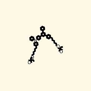 CCC1(COCCCCCCc2ccc(-c3cc(-c4ccccc4)cc(-c4ccc(N(c5ccccc5)c5ccc(CCCCCCOCC6(CC)COC6)cc5)cc4)c3)cc2)COC1